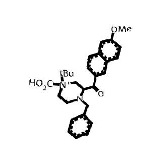 COc1ccc2cc(C(=O)C3C[N+](C(=O)O)(C(C)(C)C)CCN3Cc3ccccc3)ccc2c1